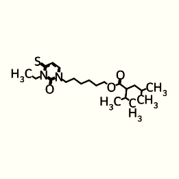 CCn1c(=S)ccn(CCCCCCOC(=O)C(CC(C)C)C(C)C)c1=O